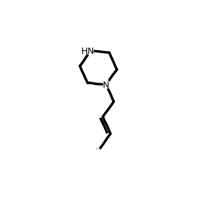 [CH2]C=CCN1CCNCC1